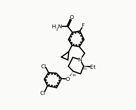 CC[C@H]1C[C@H](Oc2cc(Cl)cc(Cl)c2)CCN1Cc1cc(F)c(C(N)=O)cc1C1CC1